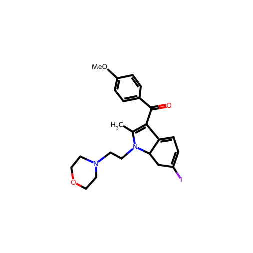 COc1ccc(C(=O)C2=C(C)N(CCN3CCOCC3)C3CC(I)=CC=C23)cc1